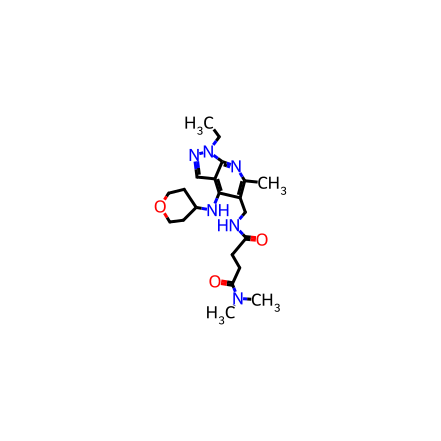 CCn1ncc2c(NC3CCOCC3)c(CNC(=O)CCC(=O)N(C)C)c(C)nc21